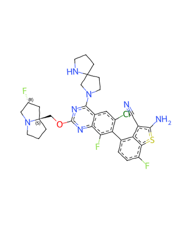 N#Cc1c(N)sc2c(F)ccc(-c3c(Cl)cc4c(N5CCC6(CCCN6)C5)nc(OC[C@@]56CCCN5C[C@H](F)C6)nc4c3F)c12